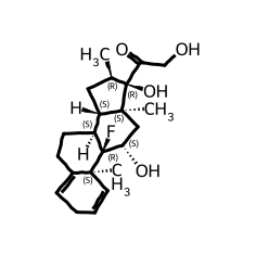 C[C@@H]1C[C@H]2[C@@H]3CCC4=CCC=C[C@]4(C)[C@@]3(F)[C@@H](O)C[C@]2(C)[C@@]1(O)C(=O)CO